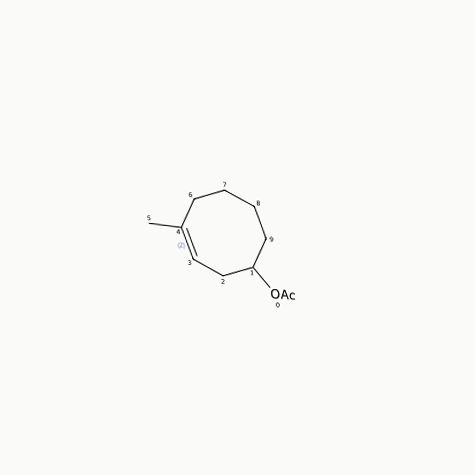 CC(=O)OC1C/C=C(/C)CCCC1